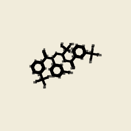 O=C(OC(CN(C(=O)c1cccc(C(F)(F)F)c1)c1cccc(F)c1)C(F)(F)F)c1cccc(C(F)(F)F)c1